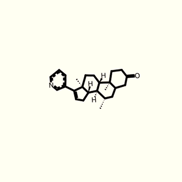 C[C@H]1CC2CC(=O)CC[C@]2(C)[C@H]2CC[C@]3(C)C(c4cccnc4)=CC[C@H]3[C@H]12